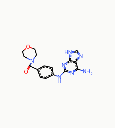 Nc1nc(Nc2ccc(C(=O)N3CCOCC3)cc2)nc2[nH]cnc12